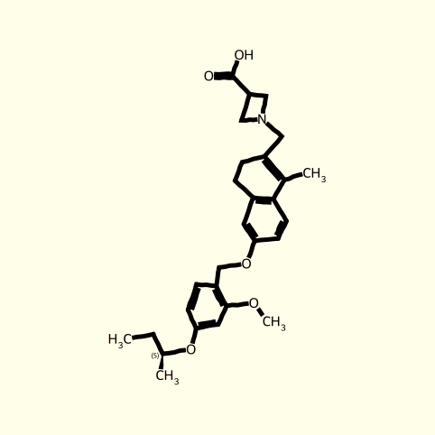 CC[C@H](C)Oc1ccc(COc2ccc3c(c2)CCC(CN2CC(C(=O)O)C2)=C3C)c(OC)c1